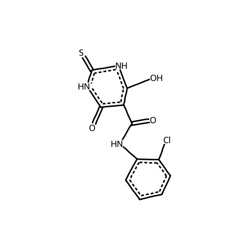 O=C(Nc1ccccc1Cl)c1c(O)[nH]c(=S)[nH]c1=O